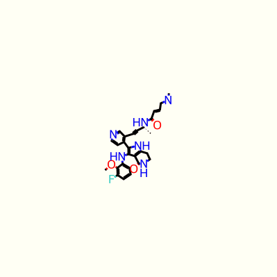 COc1c(F)cccc1Nc1c(-c2ccncc2C#C[C@@H](C)NC(=O)/C=C/CN(C)C)[nH]c2c1C(=O)NCC2